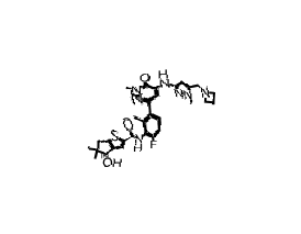 Cc1c(-c2cc(Nc3cc(CN4CCC4)n(C)n3)c(=O)n(C)n2)ccc(F)c1NC(=O)c1cc2c(s1)CC(C)(C)[C@H]2O